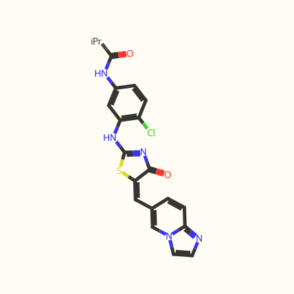 CC(C)C(=O)Nc1ccc(Cl)c(NC2=NC(=O)C(=Cc3ccc4nccn4c3)S2)c1